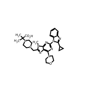 Cn1c(CN2CCN(C(C)(C)C(=O)O)CC2)nc2c(N3CCOCC3)nc(-n3c(C4CC4)nc4ccccc43)nc21